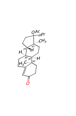 CCCC1(OC(C)=O)CC[C@H]2[C@@H]3CCC4=CC(=O)CC[C@]4(C)[C@@H]3CC[C@@]21C